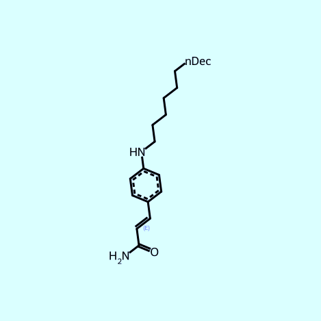 CCCCCCCCCCCCCCCCNc1ccc(/C=C/C(N)=O)cc1